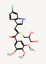 COc1cc(C(=O)/C(=C/c2c[nH]c3cc(Cl)ccc23)SCC(O)CO)cc(OC)c1OC